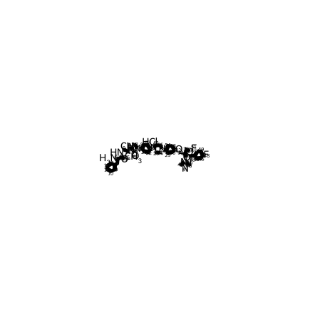 C[C@H](NC(=O)C(N)Cc1ccccc1)[C@H](C)n1ncn(-c2ccc(N3CCN(c4ccc(OC[C@H]5CO[C@@](Cn6cncn6)(c6ccc(F)cc6F)O5)cc4)CC3)cc2)c1=O.Cl